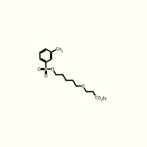 CCOC(=O)CCOCCCCCOS(=O)(=O)c1cccc(C)c1